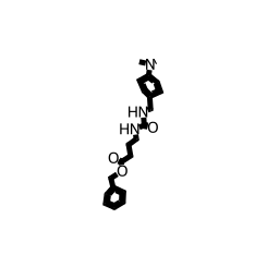 CN(C)c1ccc(CNC(=O)NCCCC(=O)OCc2ccccc2)cc1